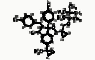 CC1(c2ccc3c(c2)C(=O)N(Cc2ccc(Cl)cc2)C3(OCC2(CO[Si](C)(C)C(C)(C)C)CC2)c2ccc(Cl)cc2)CO1